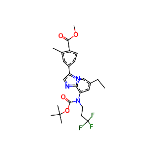 CCc1cc(N(CCC(F)(F)F)C(=O)OC(C)(C)C)c2ncc(-c3ccc(C(=O)OC)c(C)c3)n2c1